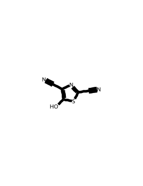 N#Cc1nc(C#N)c(O)s1